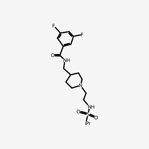 CC(C)S(=O)(=O)NCCN1CCC(CNC(=O)c2cc(F)cc(F)c2)CC1